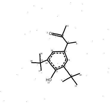 CC(=O)C(C)c1cc(C(C)(C)C)c(O)c(C(C)(C)C)c1